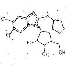 OCC1C[C@H](n2c(NC3CCCC3)nc3cc(Cl)c(Cl)cc32)C(O)C1O